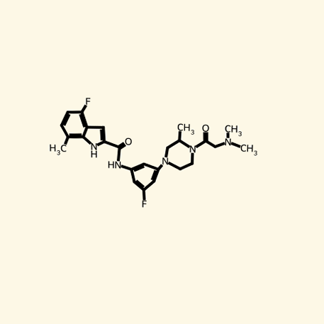 Cc1ccc(F)c2cc(C(=O)Nc3cc(F)cc(N4CCN(C(=O)CN(C)C)C(C)C4)c3)[nH]c12